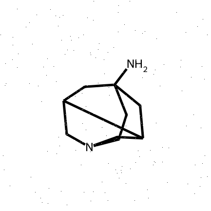 NC12CCN3CC(C1)C(C3)C2